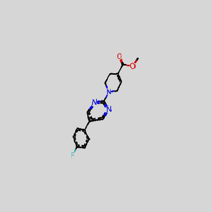 COC(=O)C1=CCN(c2ncc(-c3ccc(F)cc3)cn2)CC1